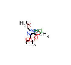 COCc1nc(C(=O)OC)c(C(=O)OC)[nH]1.Cl